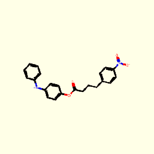 O=C(CCCc1ccc([N+](=O)[O-])cc1)Oc1ccc(Nc2ccccc2)cc1